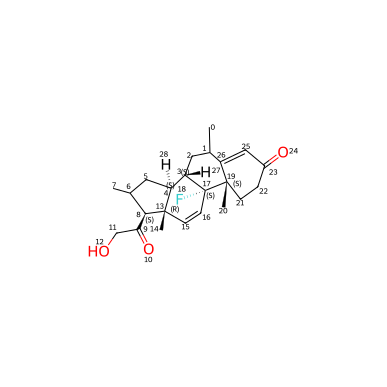 CC1C[C@H]2[C@@H]3CC(C)[C@H](C(=O)CO)[C@@]3(C)C=C[C@]2(F)[C@@]2(C)CCC(=O)C=C12